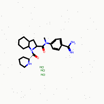 CN(C(=O)C1CC2CCCCC2N1C(=O)[C@H]1CCCCN1)c1ccc(C(=N)N)cc1.Cl.Cl.Cl